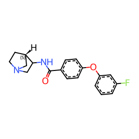 O=C(NC1CN2CC[C@H]1C2)c1ccc(Oc2cccc(F)c2)cc1